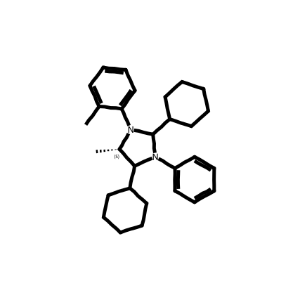 Cc1ccccc1N1C(C2CCCCC2)N(c2ccccc2)C(C2CCCCC2)[C@@H]1C